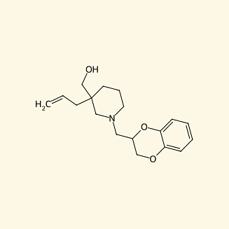 C=CCC1(CO)CCCN(CC2COc3ccccc3O2)C1